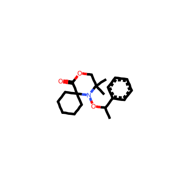 CC(ON1C(C)(C)COC(=O)C12CCCCC2)c1ccccc1